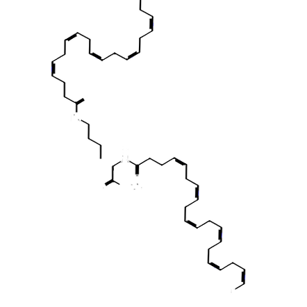 CC/C=C\C/C=C\C/C=C\C/C=C\C/C=C\C/C=C\CCC(=O)NCCCC[C@H](NC(=O)CC/C=C\C/C=C\C/C=C\C/C=C\C/C=C\C/C=C\CC)C(=O)OC